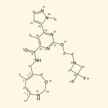 C/C1=C/C(C)=C(/CNC(=O)c2nc(OCCN3CC(F)(F)C3)nc(-c3ccnn3C)c2C)COCN1